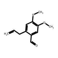 C=CCc1cc(OC)c(OC)cc1C=O